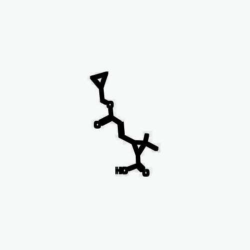 CC1(C)C(/C=C/C(=O)OCC2CC2)C1C(=O)O